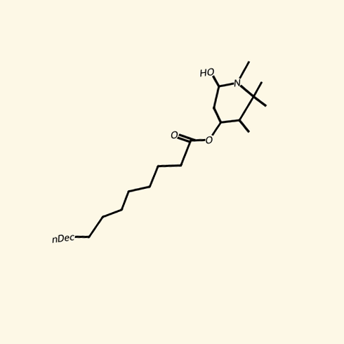 CCCCCCCCCCCCCCCCCC(=O)OC1CC(O)N(C)C(C)(C)C1C